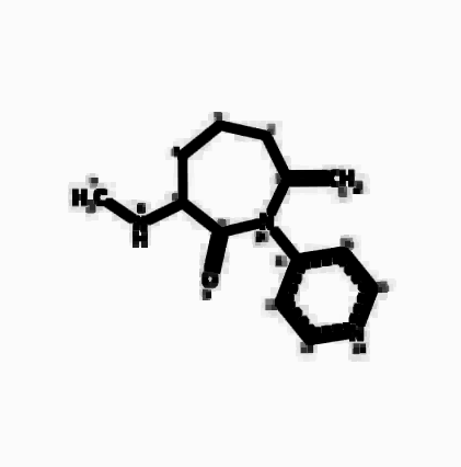 C=C1CCCC(NC)C(=O)N1c1ccncc1